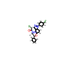 C[C@H](NC(=O)CF)[C@@H](Oc1ccc2c(cnn2-c2ccc(F)cc2)c1)c1ccccc1